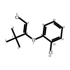 CC(C)(C)C(=CCl)Oc1ccccc1Cl